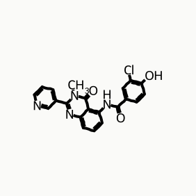 Cn1c(-c2cccnc2)nc2cccc(NC(=O)c3ccc(O)c(Cl)c3)c2c1=O